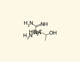 CC(O)C(=O)O.N=C(N)NN